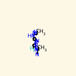 Cc1ccc(Nc2ccc3c(c2)ncn3-c2ccc(C(F)F)c(-n3nc(C#N)cc3C)n2)nn1